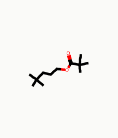 CC(C)(C)CCCOC(=O)C(C)(C)C